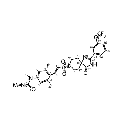 CNC(=O)N(C)c1cc(C)c(/C=C/S(=O)(=O)N2CCC3(CC2)N=C(c2cccc(OC(F)(F)F)c2)NC3=O)c(C)c1